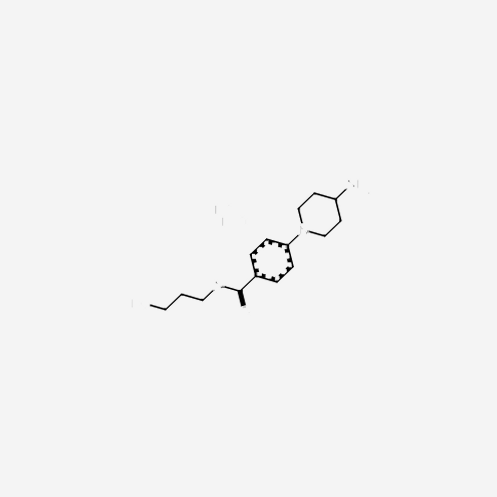 CCCCNC(=O)c1ccc(N2CCC(N)CC2)cc1.Cl.O